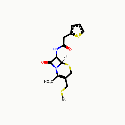 CCSCC1=C(C(=O)O)N2C(=O)[C@@H](NC(=O)Cc3cccs3)[C@H]2SC1